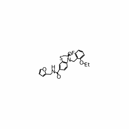 CCOc1cccc(F)c1CN1C(=O)CSc2cc(C(=O)NCc3ccco3)ccc21